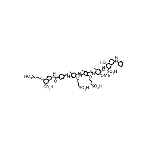 COc1cc(N=Nc2cc(C)c(N=Nc3cc(C)c(N=Nc4ccc(C(=O)Nc5ccc6c(OCCCS(=O)(=O)O)cc(S(=O)(=O)O)cc6c5)cc4)cc3OCCCS(=O)(=O)O)cc2OCCCS(=O)(=O)O)c(C)cc1N=Nc1c(S(=O)(=O)O)cc2cc(Nc3ccccc3)ccc2c1O